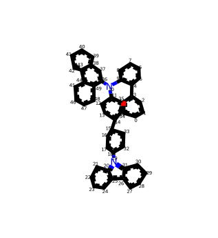 c1ccc(-c2ccccc2N(c2ccc(-c3ccc(-n4c5ccccc5c5ccccc54)cc3)cc2)c2cc3ccccc3c3ccccc23)cc1